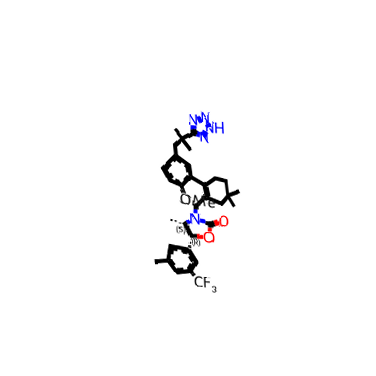 COc1ccc(CC(C)(C)c2nn[nH]n2)cc1C1=C(CN2C(=O)O[C@H](c3cc(C)cc(C(F)(F)F)c3)[C@@H]2C)CC(C)(C)CC1